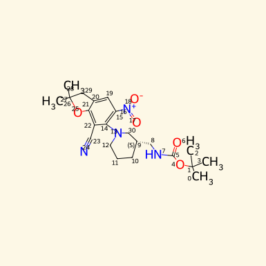 CC(C)(C)OC(=O)NC[C@@H]1CCCN(c2c([N+](=O)[O-])cc3c(c2C#N)OC(C)(C)C3)C1